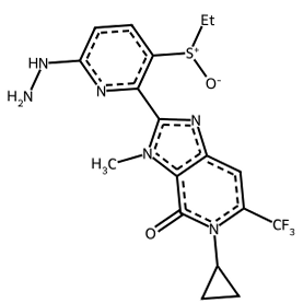 CC[S+]([O-])c1ccc(NN)nc1-c1nc2cc(C(F)(F)F)n(C3CC3)c(=O)c2n1C